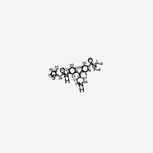 CCN(CC)C(=O)c1ccc(C(=C2CCNCC2)c2cccc(NC(=O)Cc3sccc3C)c2)cc1